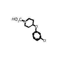 O=C(O)N1CCC(Oc2cccc(Cl)c2)CC1